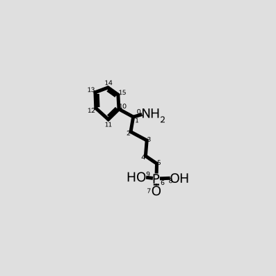 NC(CCCCP(=O)(O)O)c1ccccc1